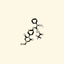 CC(C)CN1CC(=O)N(c2ccc(OC(=O)N(C)c3ccccc3)nc2)C(=O)C1.O=C(O)C(F)(F)F